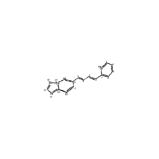 C(C=Cc1ccccn1)=Cc1ccc2ncnn2c1